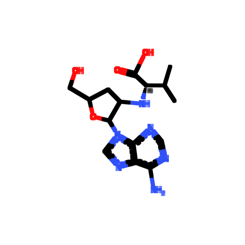 CC(C)[C@H](NC1CC(CO)OC1n1cnc2c(N)ncnc21)C(=O)O